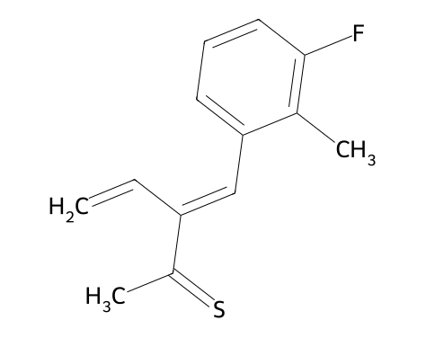 C=C/C(=C\c1cccc(F)c1C)C(C)=S